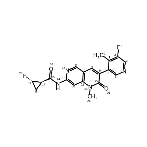 Cc1c(F)cncc1-c1cc2cnc(NC(=O)[C@H]3C[C@@H]3F)cc2n(C)c1=O